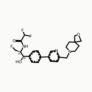 O=C(N[C@H](CF)[C@H](O)c1ccc(-c2ccc(CN3CCC4(CC3)COC4)nc2)cc1)C(F)F